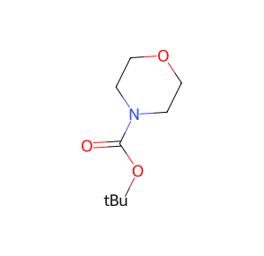 CC(C)(C)OC(=O)N1CCOCC1